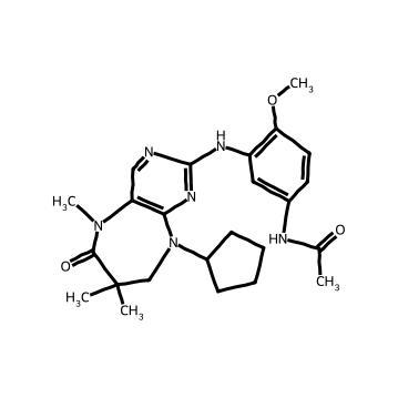 COc1ccc(NC(C)=O)cc1Nc1ncc2c(n1)N(C1CCCC1)CC(C)(C)C(=O)N2C